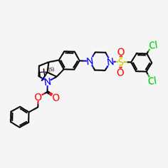 C[C@H]1C2CCN(C(=O)OCc3ccccc3)C1c1cc(N3CCN(S(=O)(=O)c4cc(Cl)cc(Cl)c4)CC3)ccc12